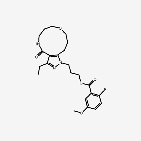 CCc1nn(CCCOC(=O)c2cc(OC)ccc2F)c2c1C(=O)NCCCOCCC2